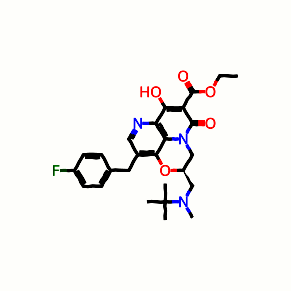 CCOC(=O)c1c(O)c2ncc(Cc3ccc(F)cc3)c3c2n(c1=O)C[C@@H](CN(C)C(C)(C)C)O3